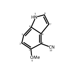 COc1ccc2[nH]ccc2c1C#N